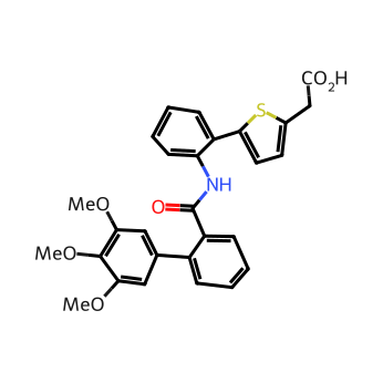 COc1cc(-c2ccccc2C(=O)Nc2ccccc2-c2ccc(CC(=O)O)s2)cc(OC)c1OC